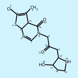 CC1=C(Cl)SC2N=CN(CC(=O)CC3NCCC3O)C(=O)C12